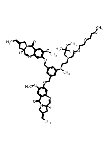 C/C=C1\C[C@H]2C=Nc3cc(OCc4cc(COc5cc6c(cc5OC)C(=O)N5C/C(=C/C)C[C@H]5C=N6)cc(N(C)CCN(CCOCCOCCOC)CC(C)(C)SC)c4)c(OC)cc3C(=O)N2C1